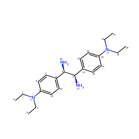 CCN(CC)c1ccc([C@@H](N)[C@H](N)c2ccc(N(CC)CC)cc2)cc1